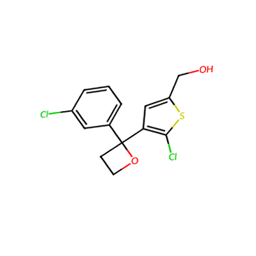 OCc1cc(C2(c3cccc(Cl)c3)CCO2)c(Cl)s1